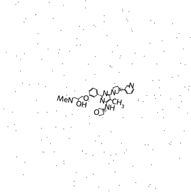 CNCC(O)COc1cccc(-c2nc(N[C@@H]3CCOC3)c(C)c(N3CC[C@@H](c4cccnc4)C3)n2)c1